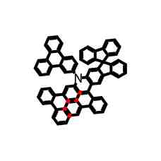 c1ccc2c(c1)-c1ccccc1C21c2ccccc2-c2cc(-c3cc4ccccc4c4ccccc34)c(N(c3ccc4c5ccccc5c5ccccc5c4c3)c3ccc4c5ccccc5c5ccccc5c4c3)cc21